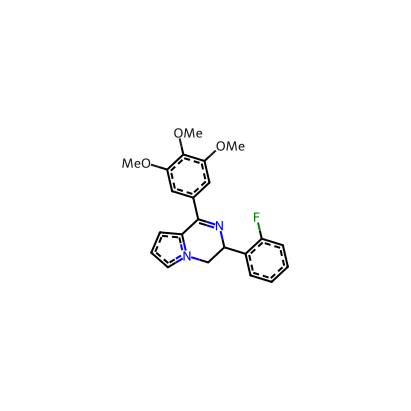 COc1cc(C2=NC(c3ccccc3F)Cn3cccc32)cc(OC)c1OC